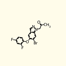 CC(=O)Cn1ncc2cc(Oc3ccc(F)cc3F)c(Br)cc21